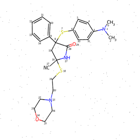 CN(C)c1ccc(SC2(c3ccccc3)CC(C#N)(SCCN3CCOCC3)NC2=O)cc1